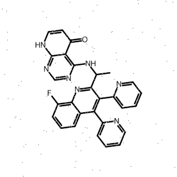 CC(Nc1ncnc2[nH]ccc(=O)c12)c1nc2c(F)cccc2c(-c2ccccn2)c1-c1ccccn1